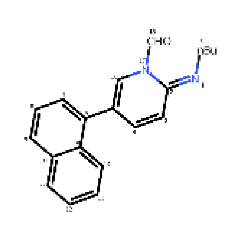 CCCC/N=c1/ccc(-c2cccc3ccccc23)cn1C=O